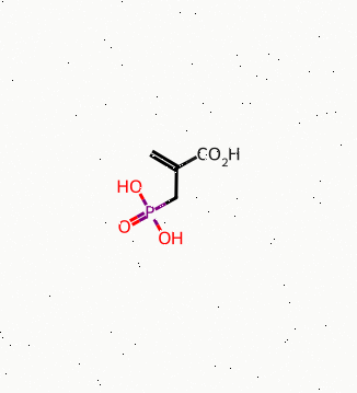 C=C(CP(=O)(O)O)C(=O)O